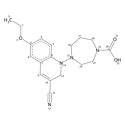 CCOc1ccc2c(c1)C=C(C#N)CN2N1CCCN(C(=O)O)CC1